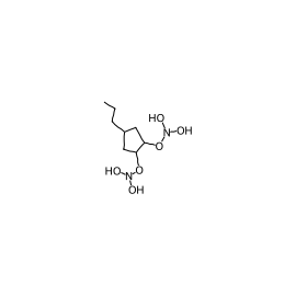 CCCC1CC(ON(O)O)C(ON(O)O)C1